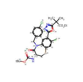 CCOC(=O)C(C)(C)c1nnc(-c2cc3c(cc2F)SC[C@H](NC(=O)OC(C)(C)C)C(=O)N3Cc2ccc(Cl)cc2)o1